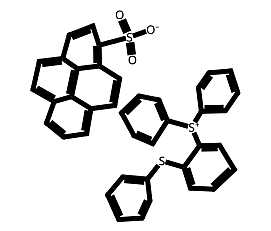 O=S(=O)([O-])c1ccc2ccc3cccc4ccc1c2c34.c1ccc(Sc2ccccc2[S+](c2ccccc2)c2ccccc2)cc1